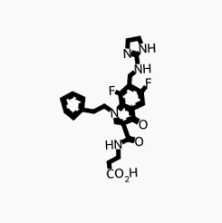 O=C(O)CCNC(=O)c1cn(CCc2ccccc2)c2c(F)c(CNC3=NCCN3)c(F)cc2c1=O